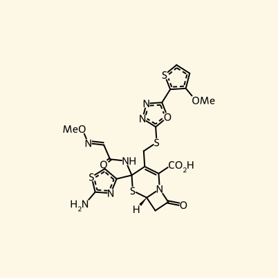 CON=CC(=O)NC1(c2csc(N)n2)S[C@H]2CC(=O)N2C(C(=O)O)=C1CSc1nnc(-c2sccc2OC)o1